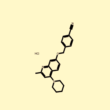 Cc1cc(N2CCCCC2)c2ccc(OCc3ccc(C#N)cc3)cc2n1.Cl